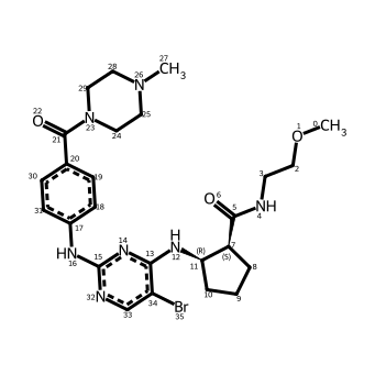 COCCNC(=O)[C@H]1CCC[C@H]1Nc1nc(Nc2ccc(C(=O)N3CCN(C)CC3)cc2)ncc1Br